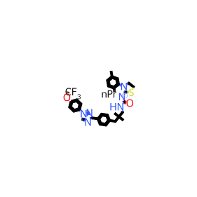 CCCc1ccc(C)cc1N1CCS/C1=N\C(=O)NCC(C)(C)Cc1ccc(-c2ncn(-c3ccc(OC(F)(F)F)cc3)n2)cc1